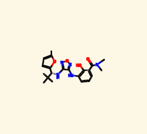 Cc1ccc([C@H](Nc2nonc2Nc2cccc(C(=O)N(C)C)c2O)C(C)(C)C)o1